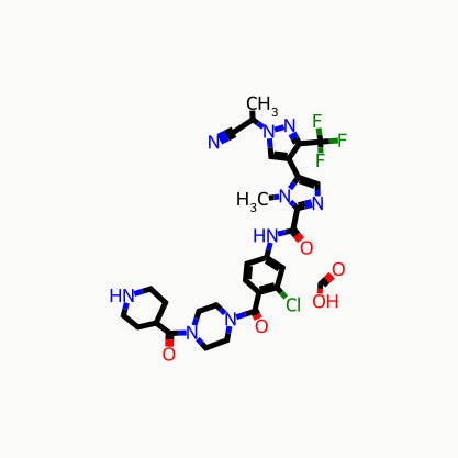 CC(C#N)n1cc(-c2cnc(C(=O)Nc3ccc(C(=O)N4CCN(C(=O)C5CCNCC5)CC4)c(Cl)c3)n2C)c(C(F)(F)F)n1.O=CO